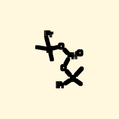 CC(C)[Si](C)(C)O[PH](=O)O[Si](C)(C)C(C)C